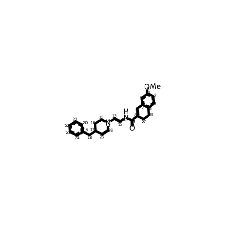 COc1ccc2c(c1)C=C(C(=O)NCCN1CCC(Cc3ccccc3)CC1)CC2